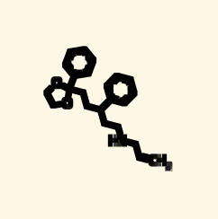 C=CCNCCC(CCC1(c2ccccc2)OCCO1)c1ccccc1